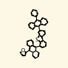 C1=CC2C(c3ccco3)=c3ccccc3=C(c3cccc4c3sc3cc(-c5c6ccccc6c(-c6ccccc6)c6ccccc56)ccc34)C2C=C1